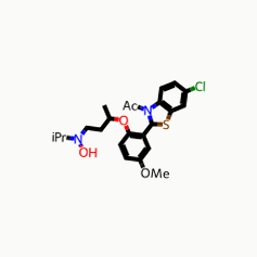 COc1ccc(OC(C)CCN(O)C(C)C)c(C2Sc3cc(Cl)ccc3N2C(C)=O)c1